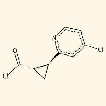 O=C(Cl)[C@H]1C[C@@H]1c1cc(Cl)ccn1